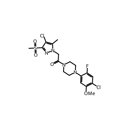 COc1cc(N2CCN(C(=O)Cn3nc(S(C)(=O)=O)c(Cl)c3C)CC2)c(F)cc1Cl